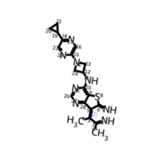 CC(=N)/C(C)=C1\C(=N)Sc2c(NC3CN(c4cnc(C5CC5)cn4)C3)ncnc21